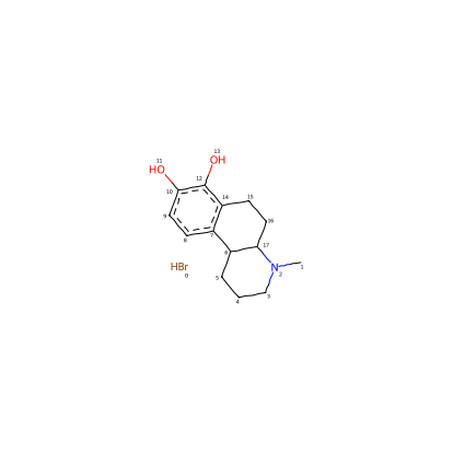 Br.CN1CCCC2c3ccc(O)c(O)c3CCC21